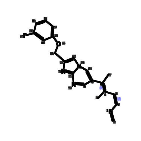 C=N/C=C\C(C)=C(/C)c1cnc2nc(COc3cccc(F)c3)cn2c1